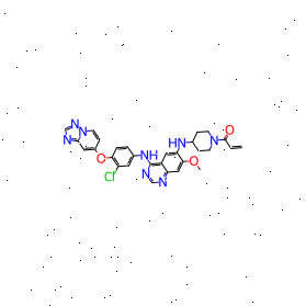 C=CC(=O)N1CCC(Nc2cc3c(Nc4ccc(Oc5ccn6ncnc6c5)c(Cl)c4)ncnc3cc2OC)CC1